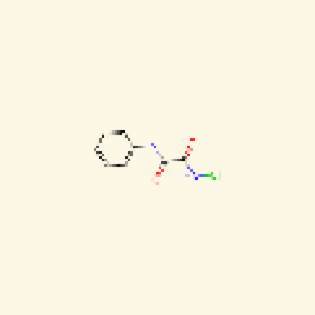 O=C(NCl)C(=O)Nc1ccccc1